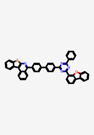 c1ccc(-c2nc(-c3ccc(-c4ccc(-c5nc6sc7ccccc7c6c6ccccc56)cc4)cc3)nc(-c3cccc4c3oc3ccccc34)n2)cc1